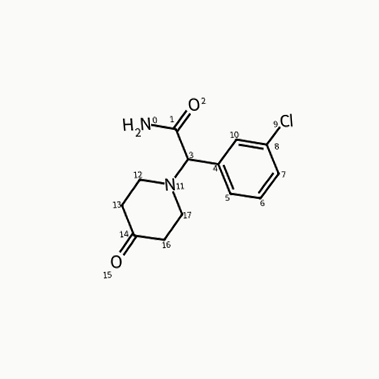 NC(=O)C(c1cccc(Cl)c1)N1CCC(=O)CC1